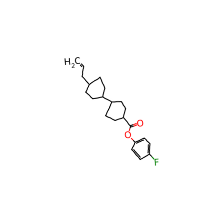 C=CCC1CCC(C2CCC(C(=O)Oc3ccc(F)cc3)CC2)CC1